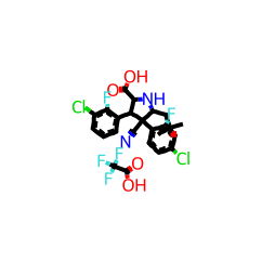 CC(C)(C)CC1NC(C(=O)O)C(c2cccc(Cl)c2F)C1(C#N)c1ccc(Cl)cc1F.O=C(O)C(F)(F)F